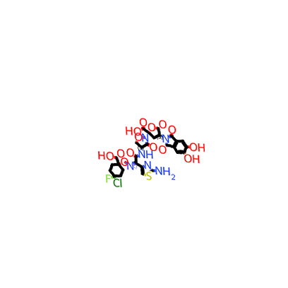 Nc1nc(/C(=N/OC2(C(=O)O)CCC(F)(Cl)CC2)C(=O)N[C@H]2CON(C3(C(=O)O)C[C@H](N4C(=O)c5cc(O)c(O)cc5C4=O)C(=O)O3)C2=O)cs1